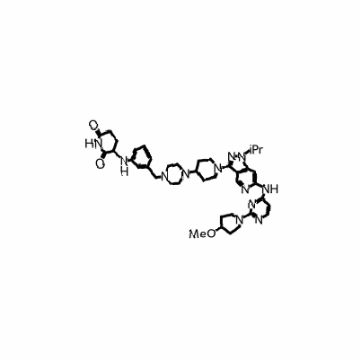 COC1CCN(c2nccc(Nc3cc4c(cn3)c(N3CCC(N5CCN(Cc6cccc(NC7CCC(=O)NC7=O)c6)CC5)CC3)nn4C(C)C)n2)CC1